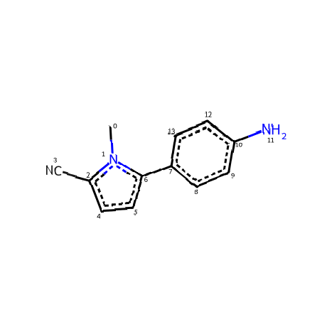 Cn1c(C#N)ccc1-c1ccc(N)cc1